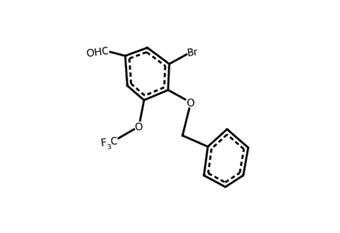 O=Cc1cc(Br)c(OCc2ccccc2)c(OC(F)(F)F)c1